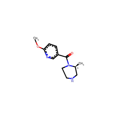 COc1ccc(C(=O)N2CCNC[C@@H]2C)cn1